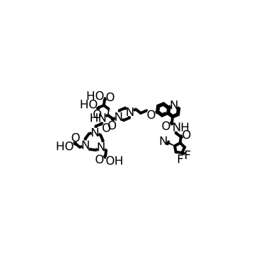 N#C[C@@H]1CC(F)(F)CC1C(=O)CNC(=O)c1ccnc2ccc(OCCCN3CCN(C(=O)[C@H](CC(C(=O)O)C(=O)O)NC(=O)CN4CCN(CC(=O)O)CCN(CC(=O)O)CC4)CC3)cc12